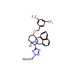 CSCn1nnc([C@@H]2C[C@@]3(c4ccccc4)[C@H](OCc4cc(C(F)(F)F)cc(C(F)(F)F)c4)CC[C@@H]2N3Cc2ccccc2)n1